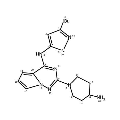 CCC(C)c1cc(Nc2nc(N3CCC(N)CC3)nn3cccc23)[nH]n1